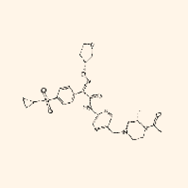 CC(=O)N1CCN(Cc2cnc(NC(=O)/C(=N/O[C@@H]3CCOC3)c3ccc(S(=O)(=O)C4CC4)cc3)cn2)C[C@@H]1C